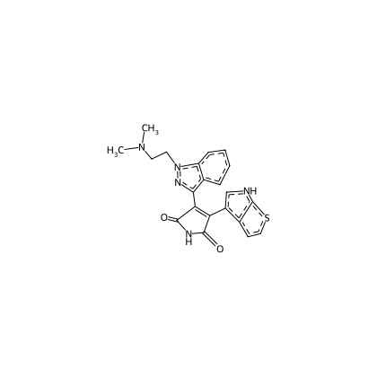 CN(C)CCn1nc(C2=C(c3c[nH]c4sccc34)C(=O)NC2=O)c2ccccc21